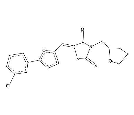 O=C1/C(=C/c2ccc(-c3cccc(Cl)c3)o2)SC(=S)N1CC1CCCO1